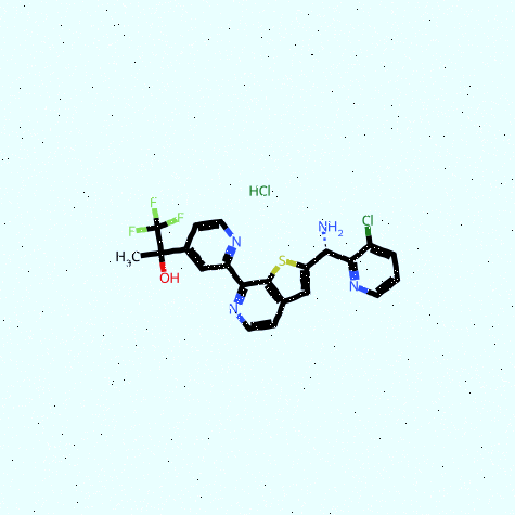 CC(O)(c1ccnc(-c2nccc3cc([C@H](N)c4ncccc4Cl)sc23)c1)C(F)(F)F.Cl